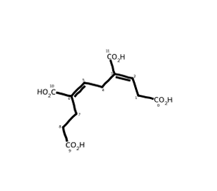 O=C(O)CC=C(CC=C(CCC(=O)O)C(=O)O)C(=O)O